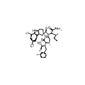 CC[C@H](C)C(NC(=O)[C@@]1(NC(=O)C([C@@H](C)CC)N(Cc2cccc(C)c2)C(=O)O)CCc2[nH]c3c(Cl)cc(Cl)cc3c2C1)C(N)=O